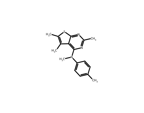 Cc1ccc(N(C)c2nc(C)nc3sc(C)c(C)c23)cc1